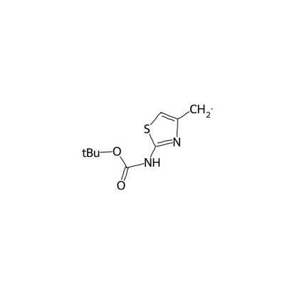 [CH2]c1csc(NC(=O)OC(C)(C)C)n1